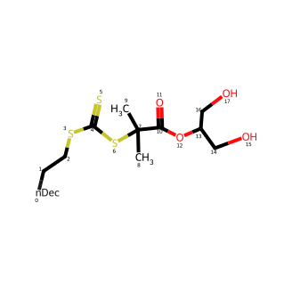 CCCCCCCCCCCCSC(=S)SC(C)(C)C(=O)OC(CO)CO